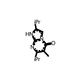 Cc1c(C(C)C)nc2[nH]c(C(C)C)cn2c1=O